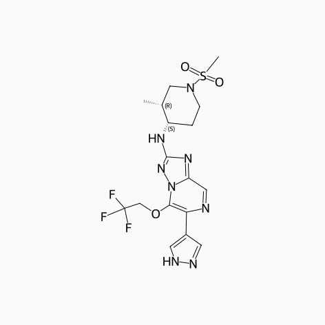 C[C@@H]1CN(S(C)(=O)=O)CC[C@@H]1Nc1nc2cnc(-c3cn[nH]c3)c(OCC(F)(F)F)n2n1